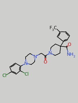 NC(=O)C1(c2cccc(C(F)(F)F)c2)CCN(C(=O)CN2CCN(c3ccc(Cl)cc3Cl)CC2)CC1